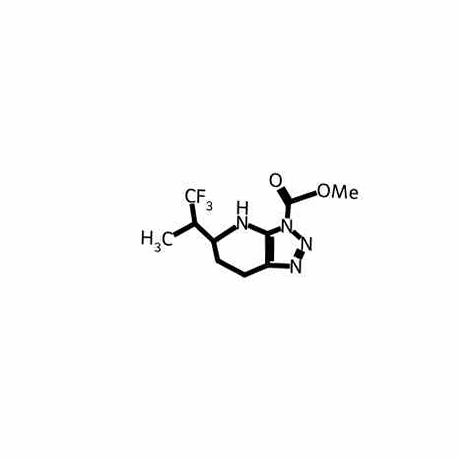 COC(=O)n1nnc2c1NC(C(C)C(F)(F)F)CC2